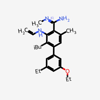 C=CNc1c(/C(N)=N\C)c(C)cc(-c2cc(CC)cc(OCC)c2)c1C(C)CC